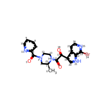 C[C@H]1CN(C(=O)c2ccccn2)CCN1C(=O)C(=O)c1c[nH]c2c(Br)nccc12